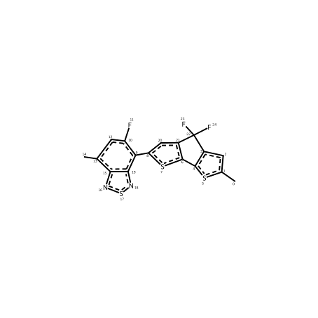 Cc1cc2c(s1)-c1sc(-c3c(F)cc(C)c4nsnc34)cc1C2(F)F